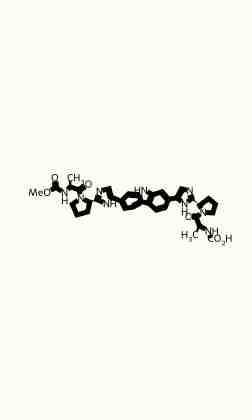 COC(=O)N[C@@H](C)C(=O)N1CCC[C@H]1c1ncc(-c2ccc3c(c2)[nH]c2cc(-c4cnc([C@@H]5CCCN5C(=O)[C@H](C)NC(=O)O)[nH]4)ccc23)[nH]1